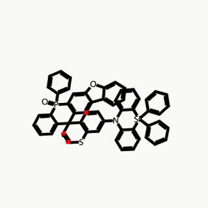 O=P1(c2ccccc2)c2ccccc2C2(c3ccccc3Sc3cc(N4c5ccccc5[Si](c5ccccc5)(c5ccccc5)c5ccccc54)ccc32)c2cc3c(cc21)oc1ccccc13